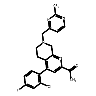 NC(=O)c1cc(-c2ccc(F)cc2Cl)c2c(n1)CN(Cc1ccnc(C(F)(F)F)n1)CC2